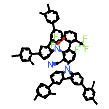 Cc1ccc(-c2ccc3c(c2)c2cc(-c4ccc(C)cc4C)ccc2n3-c2ccc(-c3c(C(F)(F)F)cccc3C(F)(F)F)c(-n3c4ccc(-c5ccc(C)c(C)c5)cc4c4cc(-c5ccc(C)cc5C)ccc43)c2C#N)c(C)c1